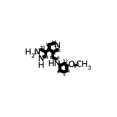 CCOc1cccc(N/C=C/c2cnccc2/C(C=N)=C/N)c1